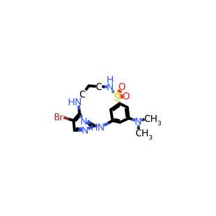 CN(C)c1cc2cc(c1)S(=O)(=O)NCCCNc1nc(ncc1Br)N2